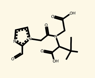 CC(C)(C)C(C(=O)O)N(CC(=O)O)C(=O)Cn1ccnc1C=O